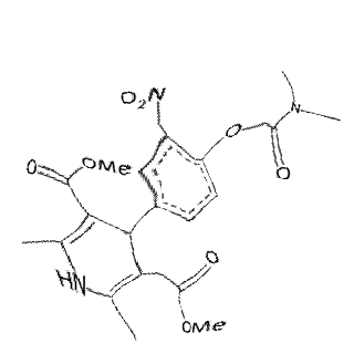 COC(=O)C1=C(C)NC(C)=C(C(=O)OC)C1c1ccc(OC(=O)N(C)C)c([N+](=O)[O-])c1